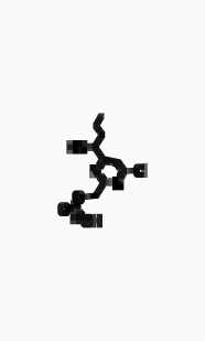 CCCC(=N)c1cc(Cl)nc(CO[PH](=O)O)n1